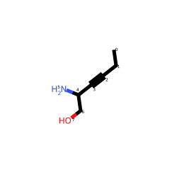 CCC#CC(N)CO